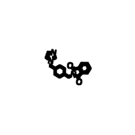 O=C1c2ccccc2C(=O)N1CC1CCC(Cn2ccnc2)CC1